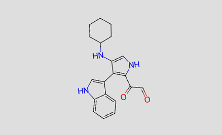 O=CC(=O)c1[nH]cc(NC2CCCCC2)c1-c1c[nH]c2ccccc12